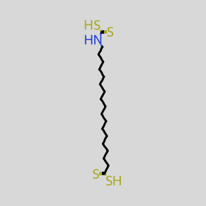 S=C(S)CCCCCCCCCCCCCCCCCNC(=S)S